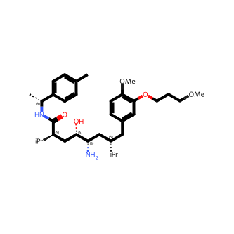 COCCCOc1cc(C[C@@H](C[C@H](N)[C@@H](O)C[C@H](C(=O)N[C@H](C)c2ccc(C)cc2)C(C)C)C(C)C)ccc1OC